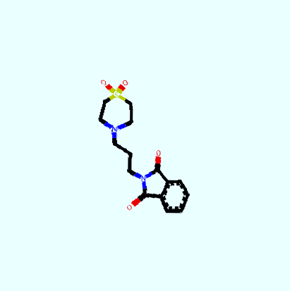 O=C1c2ccccc2C(=O)N1CCCN1CCS(=O)(=O)CC1